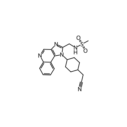 CS(=O)(=O)NCc1nc2cnc3ccccc3c2n1C1CCC(CC#N)CC1